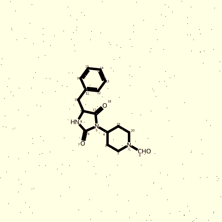 O=CN1CCC(N2C(=O)NC(Cc3ccccc3)C2=O)CC1